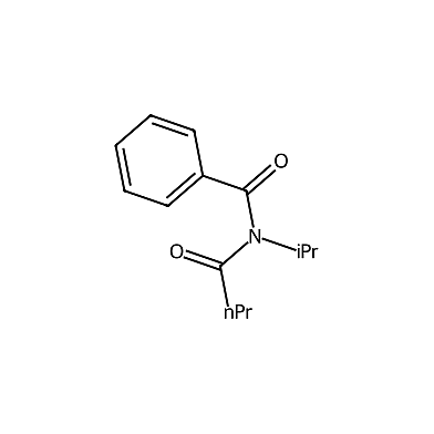 CCCC(=O)N(C(=O)c1ccccc1)C(C)C